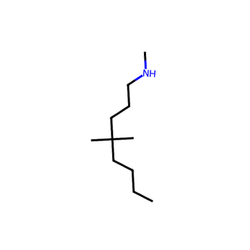 CCCCC(C)(C)CCCNC